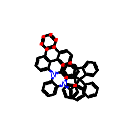 c1ccc(-c2ccccc2-c2c(-c3ccccc3)cccc2N(c2ccc3c(c2)C(c2ccccc2)(c2ccccc2)c2ccccc2-3)c2ccccc2-n2c3ccccc3c3ccccc32)cc1